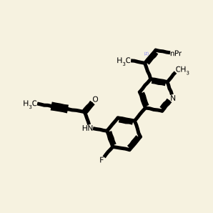 CC#CC(=O)Nc1cc(-c2cnc(C)c(/C(C)=C\CCC)c2)ccc1F